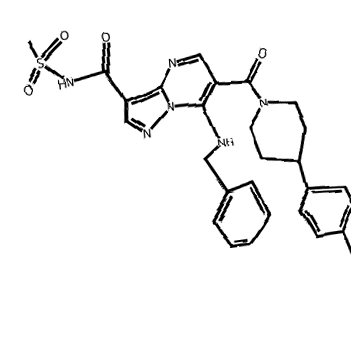 CS(=O)(=O)NC(=O)c1cnn2c(NCc3ccccc3)c(C(=O)N3CCC(c4ccc(F)cc4)CC3)cnc12